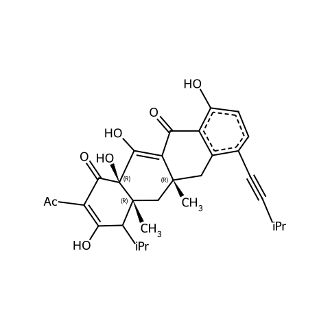 CC(=O)C1=C(O)C(C(C)C)[C@@]2(C)C[C@@]3(C)Cc4c(C#CC(C)C)ccc(O)c4C(=O)C3=C(O)[C@@]2(O)C1=O